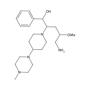 COC(CN)CC(C(O)c1ccccc1)N1CCC(N2CCN(C)CC2)CC1